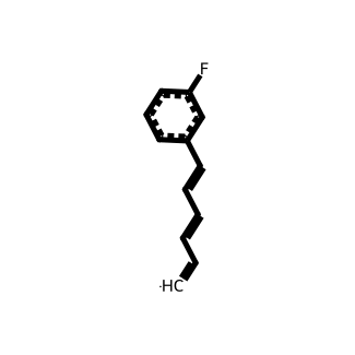 [CH]=C/C=C/C=C/c1cccc(F)c1